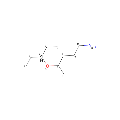 CC[SiH](CC)OC(C)CCCN